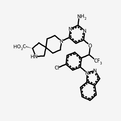 Nc1nc(OC(c2ccc(Cl)cc2-n2ncc3ccccc32)C(F)(F)F)cc(N2CCC3(CC2)CN[C@H](C(=O)O)C3)n1